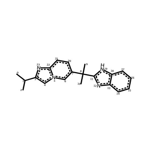 CC(C)c1cn2cc(C(C)(C)c3nc4ccccc4[nH]3)ccc2n1